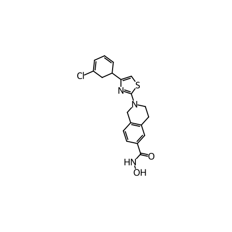 O=C(NO)c1ccc2c(c1)CCN(c1nc(C3C=CC=C(Cl)C3)cs1)C2